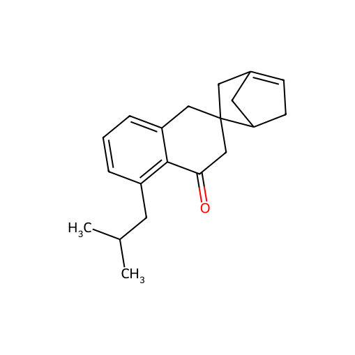 CC(C)Cc1cccc2c1C(=O)CC1(CC3=CCC1C3)C2